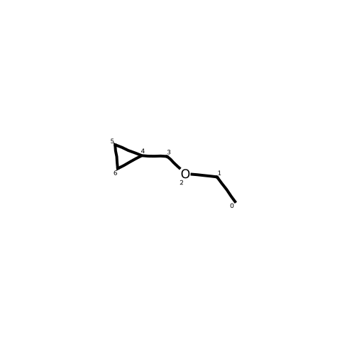 CCOCC1CC1